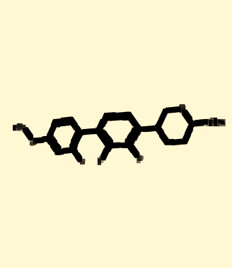 CCCCCCC1CCC(c2ccc(-c3ccc(OCCC)cc3F)c(F)c2F)CO1